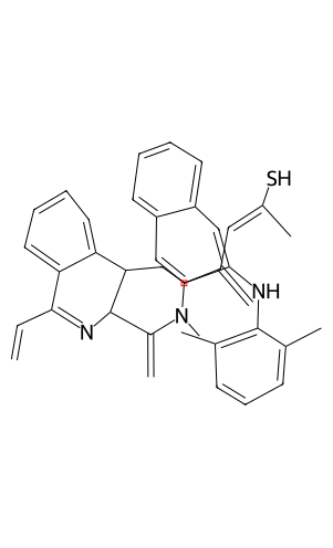 C=CC1=NC(C(=C)N(C)c2cc3ccccc3cc2Nc2c(C)cccc2C)C(CCC(=C)/C=C(\C)S)c2ccccc21